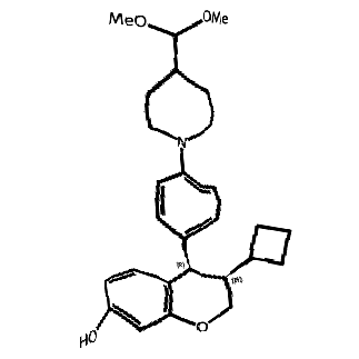 COC(OC)C1CCN(c2ccc([C@@H]3c4ccc(O)cc4OC[C@@H]3C3CCC3)cc2)CC1